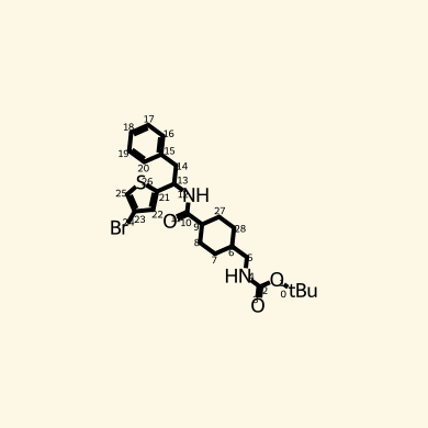 CC(C)(C)OC(=O)NCC1CCC(C(=O)NC(Cc2ccccc2)c2cc(Br)cs2)CC1